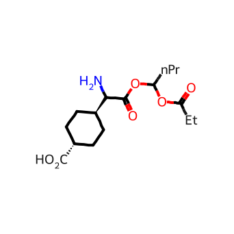 CCCC(OC(=O)CC)OC(=O)C(N)[C@H]1CC[C@H](C(=O)O)CC1